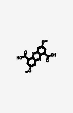 COc1cc(C(=O)O)c2nc3cc(OC)cc(C(=O)O)c3nc2c1